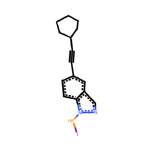 IPn1ncc2cc(C#CC3CCCCC3)ccc21